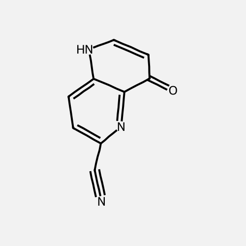 N#Cc1ccc2[nH]ccc(=O)c2n1